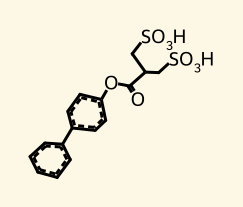 O=C(Oc1ccc(-c2ccccc2)cc1)C(CS(=O)(=O)O)CS(=O)(=O)O